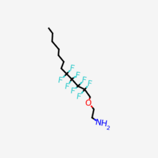 CCCCCCCC(F)(F)C(F)(F)C(F)(F)C(F)(F)COCCN